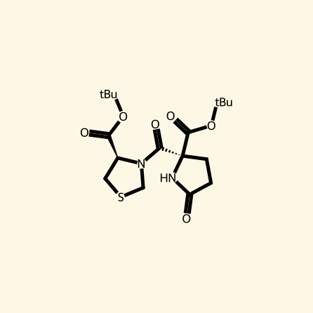 CC(C)(C)OC(=O)[C@@H]1CSCN1C(=O)[C@]1(C(=O)OC(C)(C)C)CCC(=O)N1